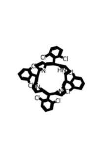 Clc1cccc(Cl)c1-c1c2nc(c(-c3c(Cl)cccc3Cl)c3ccc([nH]3)c(-c3c(Cl)cccc3Cl)c3nc(c(-c4c(Cl)cccc4Cl)c4ccc1[nH]4)C=C3)C=C2